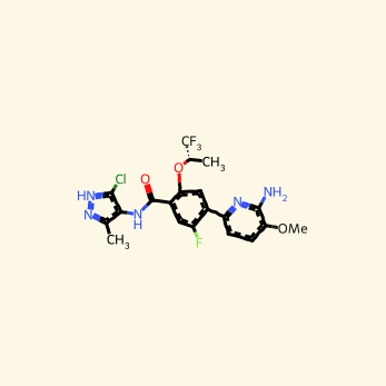 COc1ccc(-c2cc(O[C@@H](C)C(F)(F)F)c(C(=O)Nc3c(C)n[nH]c3Cl)cc2F)nc1N